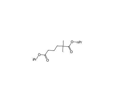 [CH2]C(C)(CCCC(=O)OC(C)C)C(=O)OCCC